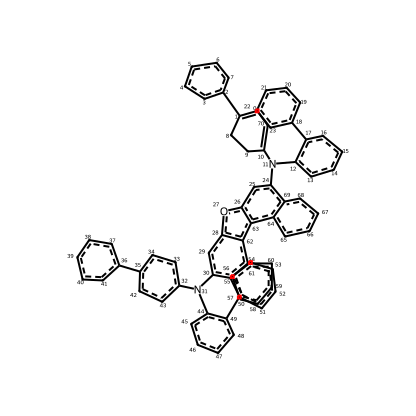 C1=C(c2ccccc2)CCC(N(c2ccccc2-c2ccccc2)c2cc3oc4cc(N(c5ccc(-c6ccccc6)cc5)c5ccccc5-c5ccccc5)c5ccccc5c4c3c3ccccc23)=C1